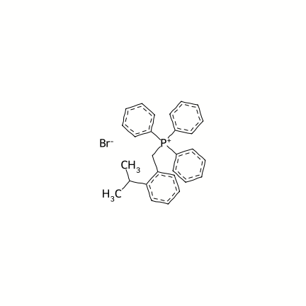 CC(C)c1ccccc1C[P+](c1ccccc1)(c1ccccc1)c1ccccc1.[Br-]